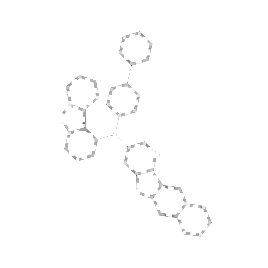 c1ccc(-c2ccc(N(c3cnc4c(c3)sc3cc5ccccc5cc34)c3cccc4sc5ccccc5c34)cc2)cc1